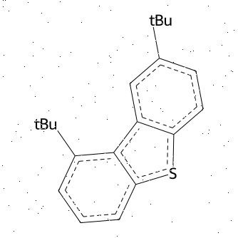 CC(C)(C)c1ccc2sc3cccc(C(C)(C)C)c3c2c1